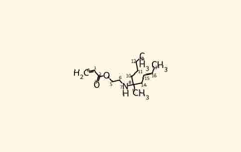 C=CC(=O)OCCNC(C)(CCCC)CCCC